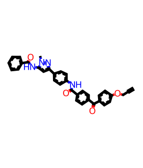 C#CCOc1ccc(C(=O)c2ccc(C(=O)Nc3ccc(-c4cc(NC(=O)c5ccccc5)n(C)n4)cc3)cc2)cc1